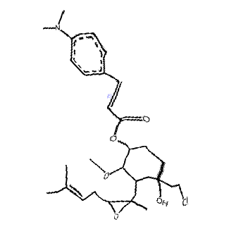 COC1C(OC(=O)/C=C/c2ccc(N(C)C)cc2)CCC(O)(CCl)C1C1(C)OC1CC=C(C)C